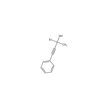 CCC(C)(O)C#Cc1[c]cccc1